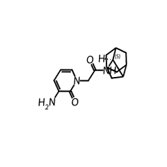 Nc1cccn(CC(=O)N[C@H]2C3CC4CC(C3)C2C4)c1=O